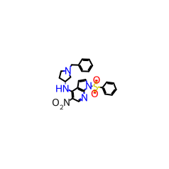 O=[N+]([O-])c1cnc2c(ccn2S(=O)(=O)c2ccccc2)c1N[C@@H]1CCN(Cc2ccccc2)C1